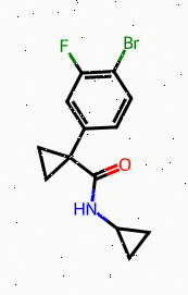 O=C(NC1CC1)C1(c2ccc(Br)c(F)c2)CC1